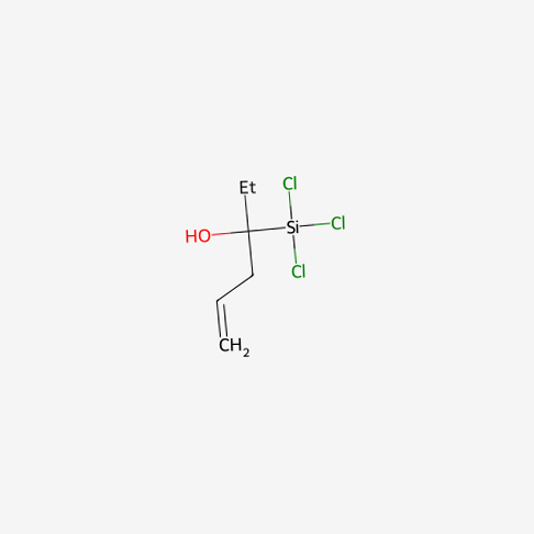 [CH2]CC(O)(CC=C)[Si](Cl)(Cl)Cl